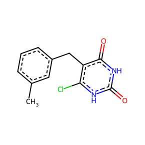 Cc1cccc(Cc2c(Cl)[nH]c(=O)[nH]c2=O)c1